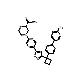 COC(=O)[C@H]1CN(c2cnc(-c3nc(C4(c5ccc(-c6cnc(N)nc6)cc5)CCC4)no3)cn2)CCN1